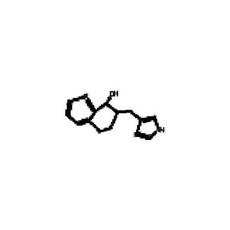 OC1c2ncccc2CCC1Cc1c[nH]cn1